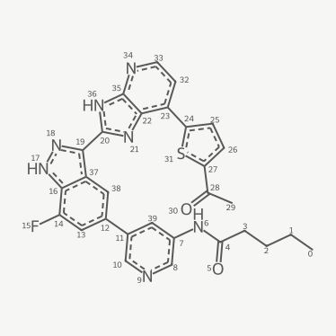 CCCCC(=O)Nc1cncc(-c2cc(F)c3[nH]nc(-c4nc5c(-c6ccc(C(C)=O)s6)ccnc5[nH]4)c3c2)c1